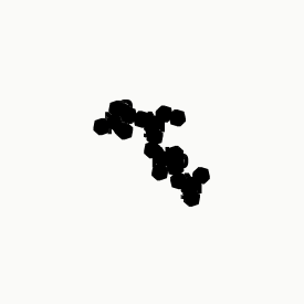 c1ccc(-c2cccc(-c3nc(-c4ccc(-c5ccc6c(c5)oc5cccc(-c7nc(-c8ccccc8)nc(-c8ccccc8)n7)c56)cc4)c4sc5cc(-c6cccc(-c7nc(-c8ccccc8)nc(-c8cccc9oc%10cc(-c%11cccc(-c%12nc(-c%13ccccc%13)nc%13c%12sc%12ccccc%12%13)c%11)ccc%10c89)n7)c6)ccc5c4n3)c2)cc1